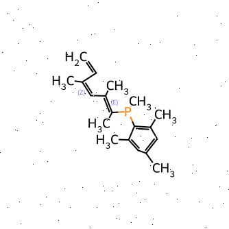 C=C/C(C)=C\C(C)=C(/C)P(C)c1c(C)cc(C)cc1C